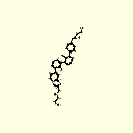 Cc1c(-c2ccc(CNCCO)cc2)cccc1-c1cccc(-c2ccn3nc(CNCCO)nc3c2)c1C